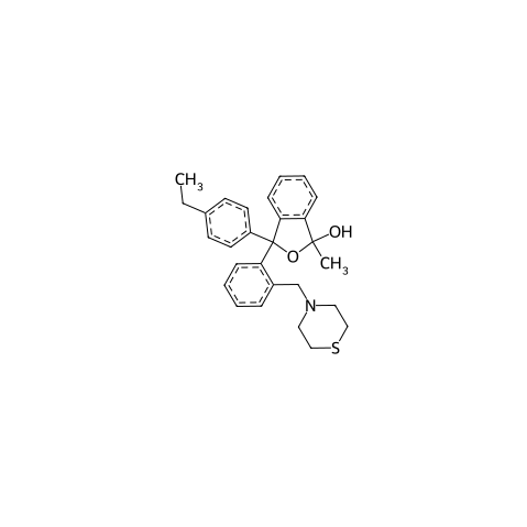 CCc1ccc(C2(c3ccccc3CN3CCSCC3)OC(C)(O)c3ccccc32)cc1